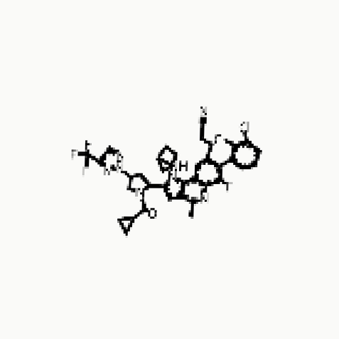 Cc1nc2c(F)c(-c3cccc(Cl)c3Cl)c(CCC#N)cc2c2c1cc(C1CC(n3ncc(C(F)(F)F)n3)CN1C(=O)C1CC1)n2C1C2CNC1C2